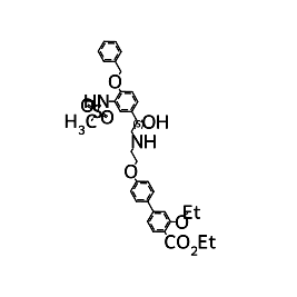 CCOC(=O)c1ccc(-c2ccc(OCCNC[C@@H](O)c3ccc(OCc4ccccc4)c(NS(C)(=O)=O)c3)cc2)cc1OCC